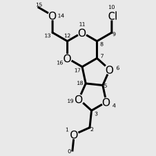 COCC1OC2OC3C(CCl)OC(COC)OC3C2O1